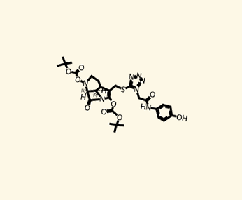 CC(C)(C)OC(=O)OC1=C(CSc2nnnn2CC(=O)Nc2ccc(O)cc2)C2CCN(OC(=O)OC(C)(C)C)[C@@H]3C(=O)N1[C@H]23